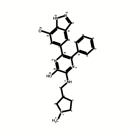 CN1CCC(CNc2nc(-c3ccccc3)c(-c3cc(Cl)c4[nH]ncc4c3)nc2O)C1